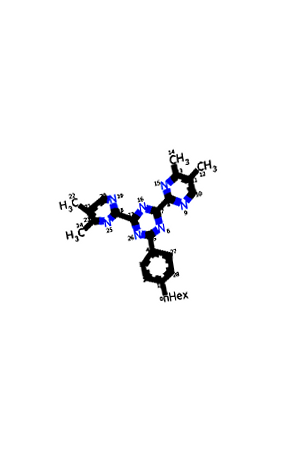 CCCCCCc1ccc(-c2nc(-c3ncc(C)c(C)n3)nc(-c3ncc(C)c(C)n3)n2)cc1